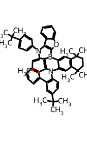 Cc1cc2c3c(c1)N(c1ccc(C(C)(C)C)cc1)c1c(oc4ccccc14)B3c1cc3c(cc1N2c1ccc(C(C)(C)C)cc1-c1ccccc1)C(C)(C)CCC3(C)C